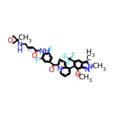 COc1c(-c2cccn3c(C(=O)c4cc(F)c(NC(=O)/C=C/CNC5(C)COC5)c(F)c4)ccc23)c(C(F)(F)F)cc2c(C)n(C)nc12